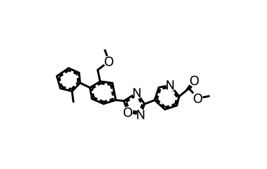 COCc1cc(-c2nc(-c3ccc(C(=O)OC)nc3)no2)ccc1-c1ccccc1C